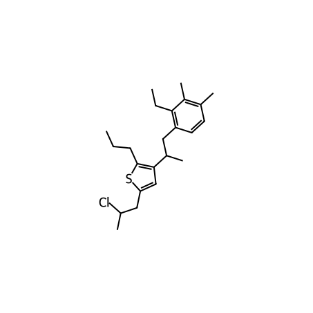 CCCc1sc(CC(C)Cl)cc1C(C)Cc1ccc(C)c(C)c1CC